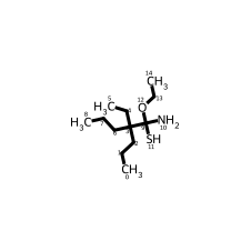 CCCC(CC)(CCC)C(N)(S)OCC